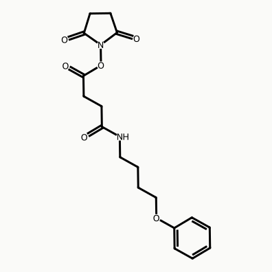 O=C(CCC(=O)ON1C(=O)CCC1=O)NCCCCOc1ccccc1